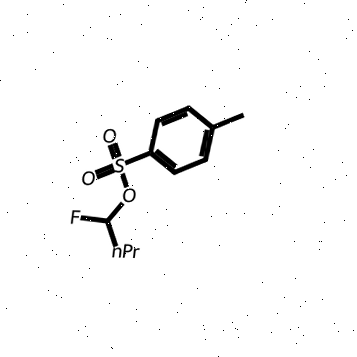 CCCC(F)OS(=O)(=O)c1ccc(C)cc1